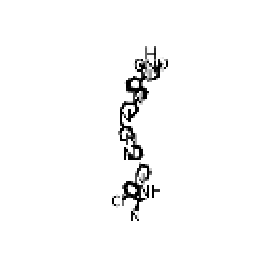 N#Cc1c[nH]c2c(N3CCC[C@@H](c4ccc(N5CCC(CN6CCC(n7ccc8c(N9CCC(=O)NC9=O)cccc87)CC6)CC5)nc4)C3)ccc(Cl)c12